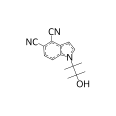 CC(C)(O)C(C)(C)n1ccc2c(C#N)c(C#N)ccc21